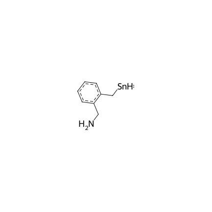 NCc1ccccc1[CH2][SnH]